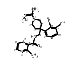 N#C/N=C(/N)N1CCC(CNC(=O)c2nccnc2N)(c2cccc(F)c2F)CC1